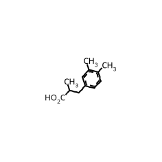 Cc1ccc(CC(C)C(=O)O)cc1C